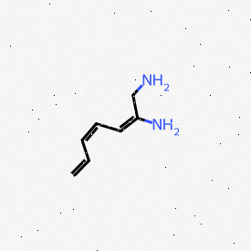 C=C/C=C\C=C(\N)CN